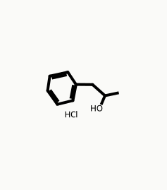 CC(O)Cc1ccccc1.Cl